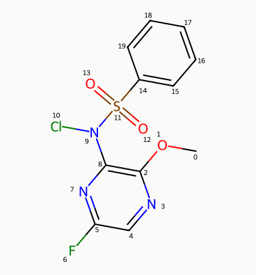 COc1ncc(F)nc1N(Cl)S(=O)(=O)c1ccccc1